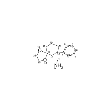 NCC1(c2ccccc2)CCCC2(C1)OCCO2